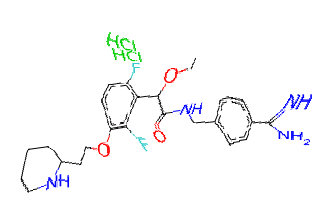 CCOC(C(=O)NCc1ccc(C(=N)N)cc1)c1c(F)ccc(OCCC2CCCCN2)c1F.Cl.Cl